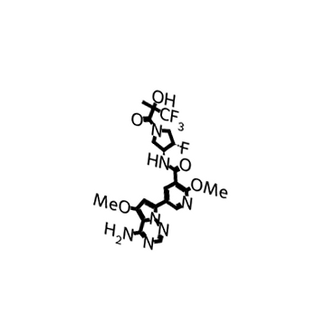 COc1ncc(-c2cc(OC)c3c(N)ncnn23)cc1C(=O)N[C@@H]1CN(C(=O)C(C)(O)C(F)(F)F)C[C@@H]1F